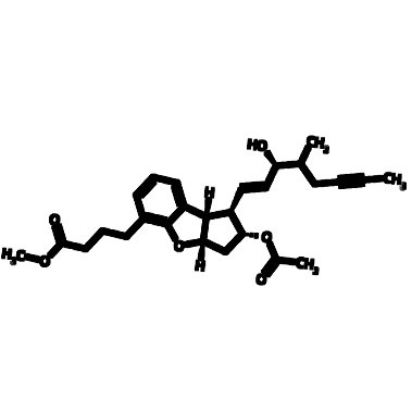 CC#CCC(C)[C@H](O)/C=C/[C@@H]1[C@H]2c3cccc(CCCC(=O)OC)c3O[C@H]2C[C@H]1OC(C)=O